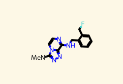 CNc1nnc2c(NCc3ccccc3CF)nccn12